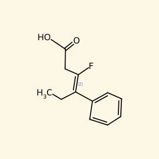 CC/C(=C(/F)CC(=O)O)c1ccccc1